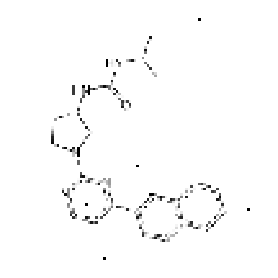 CC(C)NC(=O)NC1CCN(c2nccc(-c3ccc4ccccc4c3)n2)C1